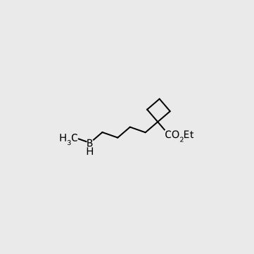 CBCCCCC1(C(=O)OCC)CCC1